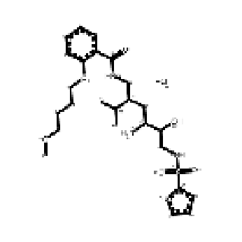 COCCCCOc1ccccc1C(=O)NCC(CC(N)C(O)CNS(=O)(=O)c1cccs1)C(C)C.Cl